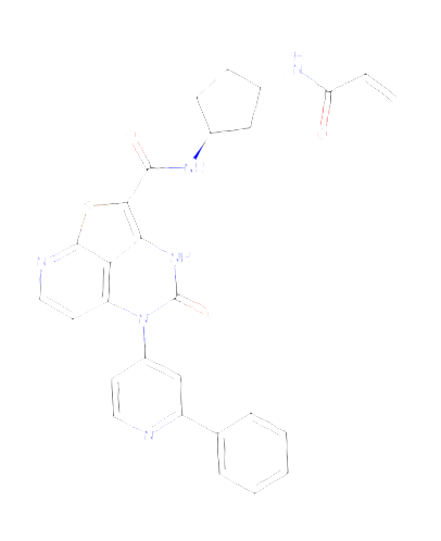 C=CC(=O)N[C@H]1CC[C@H](NC(=O)c2sc3nccc4c3c2NC(=O)N4c2ccnc(-c3ccccc3)c2)C1